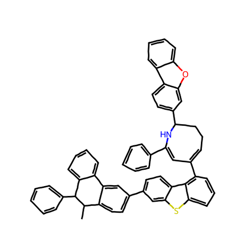 CC1c2ccc(-c3ccc4c(c3)sc3cccc(C5=C/CCC(c6ccc7c(c6)oc6ccccc67)N/C(c6ccccc6)=C\5)c34)cc2-c2ccccc2C1c1ccccc1